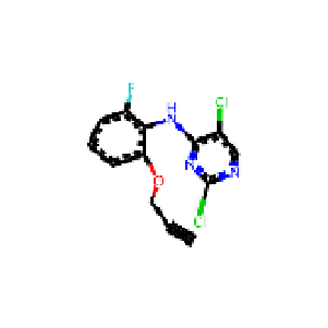 C#CCOc1cccc(F)c1Nc1nc(Cl)ncc1Cl